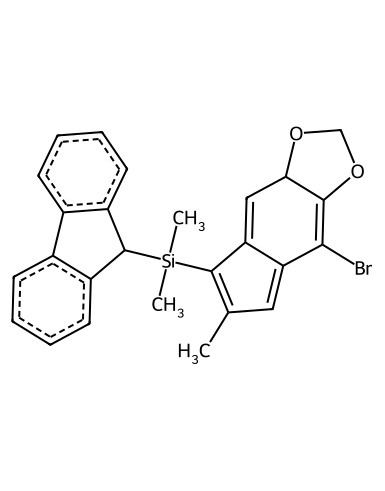 CC1=C([Si](C)(C)C2c3ccccc3-c3ccccc32)C2=CC3OCOC3=C(Br)C2=C1